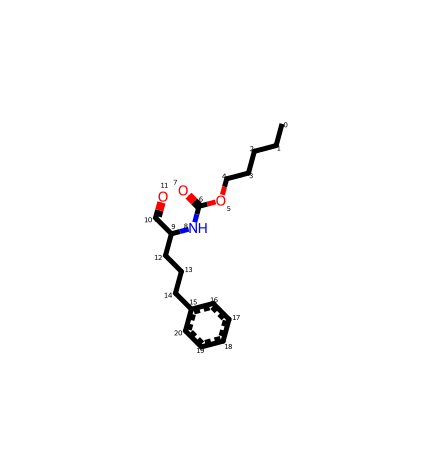 CCCCCOC(=O)NC([C]=O)CCCc1ccccc1